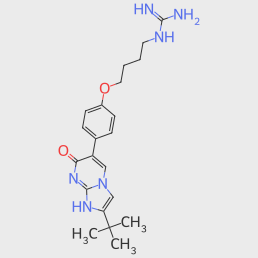 CC(C)(C)c1cn2cc(-c3ccc(OCCCCNC(=N)N)cc3)c(=O)nc2[nH]1